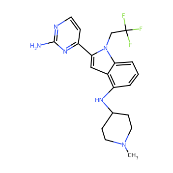 CN1CCC(Nc2cccc3c2cc(-c2ccnc(N)n2)n3CC(F)(F)F)CC1